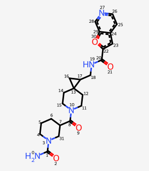 NC(=O)N1CCCC(C(=O)N2CCC3(CC2)CC3CNC(=O)c2cc3ccncc3o2)C1